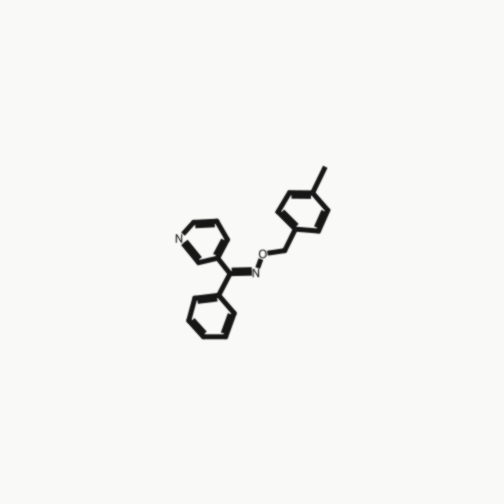 Cc1ccc(CON=C(c2ccccc2)c2cccnc2)cc1